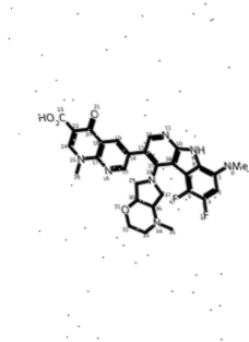 CNc1cc(F)c(F)c2c1[nH]c1ncc(-c3cnc4c(c3)c(=O)c(C(=O)O)cn4C)c(N3CC4OCCN(C)C4C3)c12